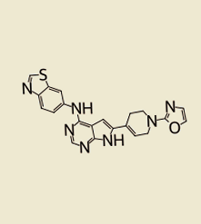 C1=C(c2cc3c(Nc4ccc5ncsc5c4)ncnc3[nH]2)CCN(c2ncco2)C1